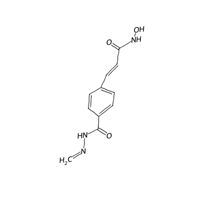 C=NNC(=O)c1ccc(/C=C/C(=O)NO)cc1